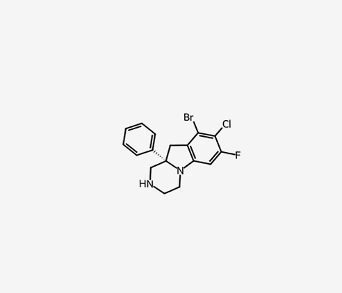 Fc1cc2c(c(Br)c1Cl)C[C@]1(c3ccccc3)CNCCN21